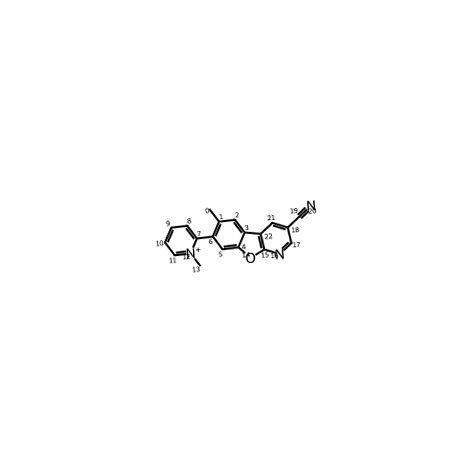 Cc1cc2c(cc1-c1cccc[n+]1C)oc1ncc(C#N)cc12